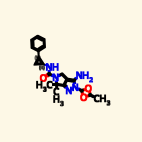 CC1OC(n2nc3c(c2N)CN(C(=O)N[C@@H]2C[C@H]2c2ccccc2)C3(C)C)O1